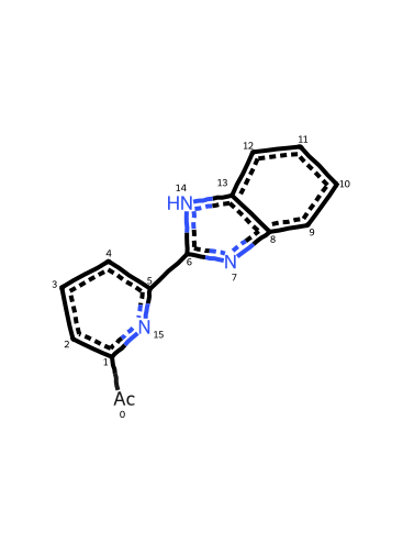 CC(=O)c1cccc(-c2nc3ccccc3[nH]2)n1